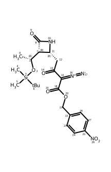 C[C@@H](O[Si](C)(C)C(C)(C)C)[C@@H]1C(=O)N[C@@H]1CC(=O)C(=[N+]=[N-])C(=O)OCc1ccc([N+](=O)[O-])cc1